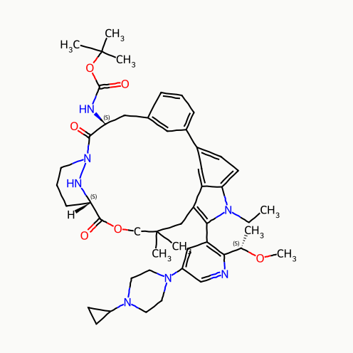 CCn1c(-c2cc(N3CCN(C4CC4)CC3)cnc2[C@H](C)OC)c2c3cc(ccc31)-c1cccc(c1)C[C@H](NC(=O)OC(C)(C)C)C(=O)N1CCC[C@H](N1)C(=O)OCC(C)(C)C2